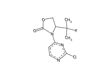 CC(C)(F)C1COC(=O)N1c1ccnc(Cl)n1